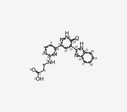 O=C(O)CCNc1nccc(-c2cc(-c3nc4ccccc4[nH]3)c(=O)[nH]n2)n1